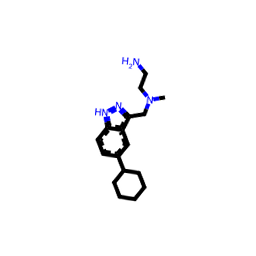 CN(CCN)Cc1n[nH]c2ccc(C3CCCCC3)cc12